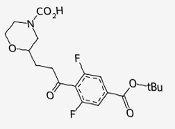 CC(C)(C)OC(=O)c1cc(F)c(C(=O)CCC2CN(C(=O)O)CCO2)c(F)c1